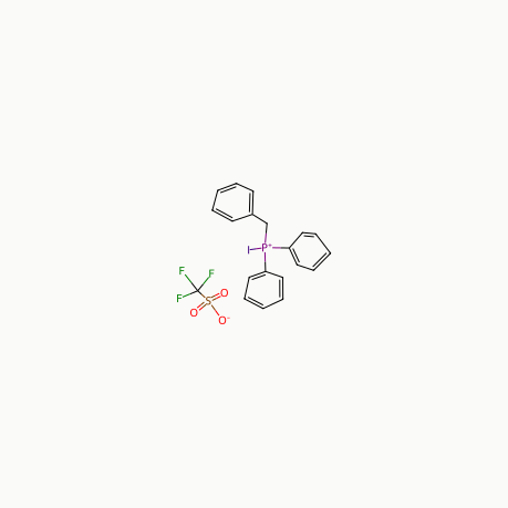 I[P+](Cc1ccccc1)(c1ccccc1)c1ccccc1.O=S(=O)([O-])C(F)(F)F